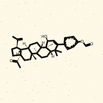 C=C(C)[C@@H]1CC[C@]2(C(C)=O)CC[C@]3(C)[C@H](CC[C@@H]4[C@@]5(C)[C@@H](O)C=C(c6ccc(OC=O)cc6)C(C)(C)[C@@H]5CC[C@]43C)[C@@H]12